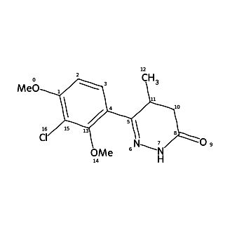 COc1ccc(C2=NNC(=O)CC2C)c(OC)c1Cl